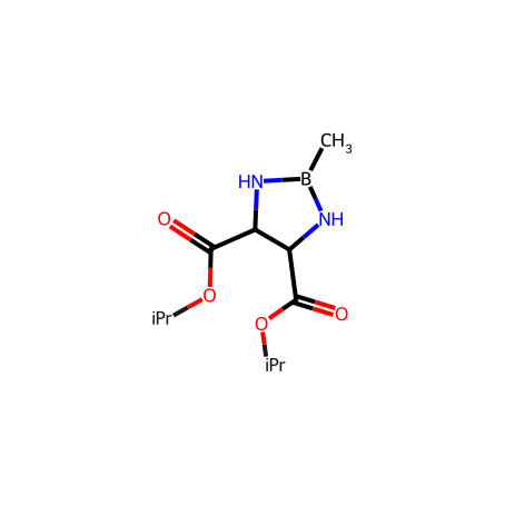 CB1NC(C(=O)OC(C)C)C(C(=O)OC(C)C)N1